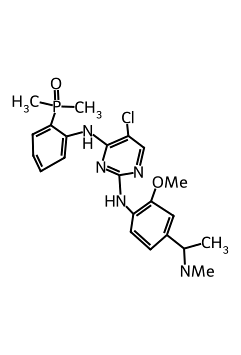 CNC(C)c1ccc(Nc2ncc(Cl)c(Nc3ccccc3P(C)(C)=O)n2)c(OC)c1